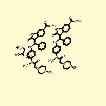 COC(=O)c1ccc2c(c1)NC(=O)/C2=C(\Nc1ccc(N(C)C(=O)CN2CCN(C)CC2)cc1)c1ccccc1.COC(=O)c1ccc2c(c1)NC(=O)/C2=C(\Nc1ccc(N(C)C(=O)CN2CCN(C)CC2)cc1)c1ccccc1.O=C(O)CC(O)C(=O)O